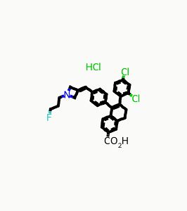 Cl.O=C(O)c1ccc2c(c1)CCC(c1ccc(Cl)cc1Cl)=C2c1ccc(C=C2CN(CCCF)C2)cc1